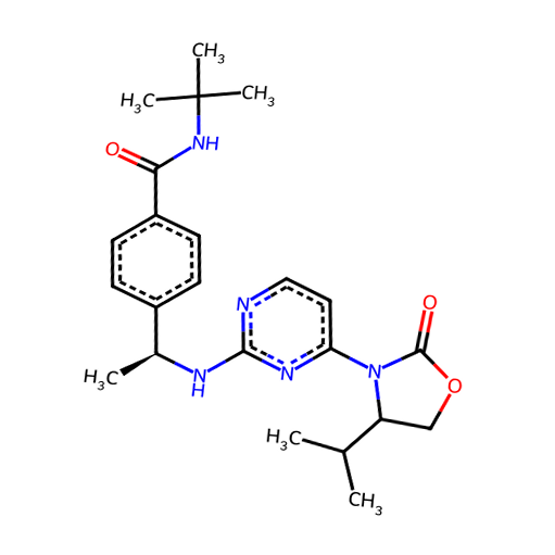 CC(C)C1COC(=O)N1c1ccnc(N[C@@H](C)c2ccc(C(=O)NC(C)(C)C)cc2)n1